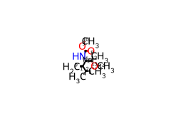 C=C(C(C)C)[C@@H](NC(=O)OC)[C@@H](C)OC